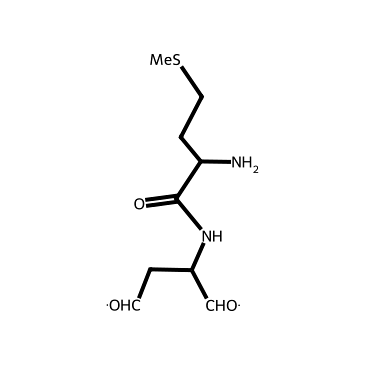 CSCCC(N)C(=O)NC([C]=O)C[C]=O